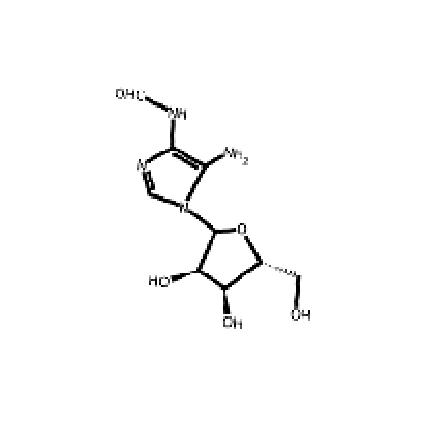 Nc1c(NC=O)ncn1C1O[C@H](CO)[C@@H](O)[C@H]1O